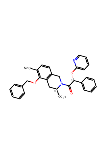 COc1ccc2c(c1OCc1ccccc1)C[C@H](C(=O)O)N(C(=O)[C@H](Oc1ccccn1)c1ccccc1)C2